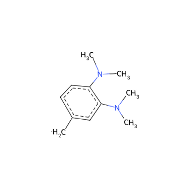 [CH2]c1ccc(N(C)C)c(N(C)C)c1